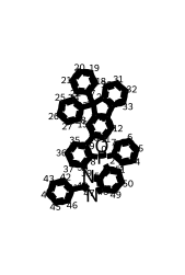 O=P1(c2ccccc2)c2c(-c3ccc4c(c3)C(c3ccccc3)(c3ccccc3)c3ccccc3-4)cccc2-n2c(-c3ccccc3)nc3cccc1c32